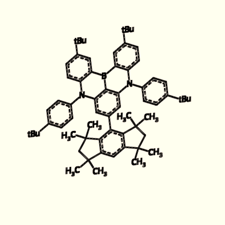 CC(C)(C)c1ccc(N2c3ccc(C(C)(C)C)cc3B3c4cc(C(C)(C)C)ccc4N(c4ccc(C(C)(C)C)cc4)c4cc(-c5c6c(cc7c5C(C)(C)CC7(C)C)C(C)(C)CC6(C)C)cc2c43)cc1